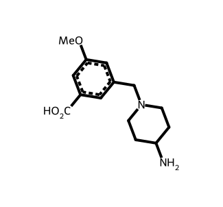 COc1cc(CN2CCC(N)CC2)cc(C(=O)O)c1